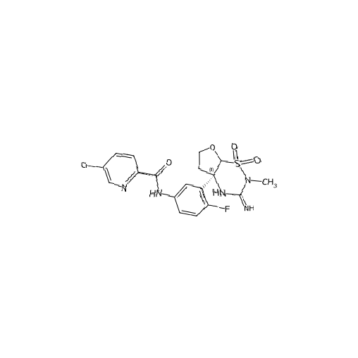 CN1C(=N)N[C@@]2(c3cc(NC(=O)c4ccc(Cl)cn4)ccc3F)CCOC2S1(=O)=O